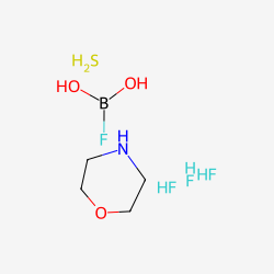 C1COCCN1.F.F.F.OB(O)F.S